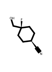 N#C[C@H]1CC[C@](F)(CO)CC1